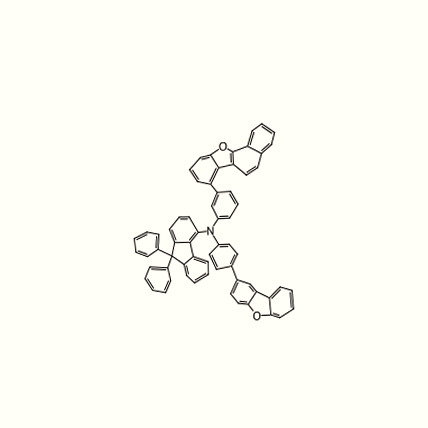 c1ccc(C2(c3ccccc3)c3ccccc3-c3c(N(c4ccc(-c5ccc6oc7ccccc7c6c5)cc4)c4cccc(-c5cccc6oc7c8ccccc8ccc7c56)c4)cccc32)cc1